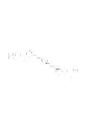 CC(C)(CCCCCOCCCCCC(C)(C)C(=O)O)C(=O)O